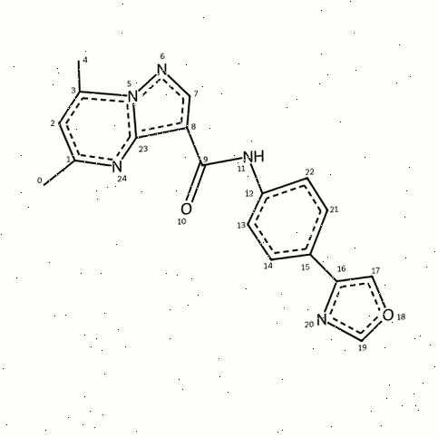 Cc1cc(C)n2ncc(C(=O)Nc3ccc(-c4cocn4)cc3)c2n1